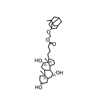 CC12CC3CC(C1)CC(OCOC(=O)CCCC1CCC4C5C(C[C@H](O)[C@]14C)[C@@]1(C)CC[C@@H](O)CC1C[C@H]5O)(C3)C2